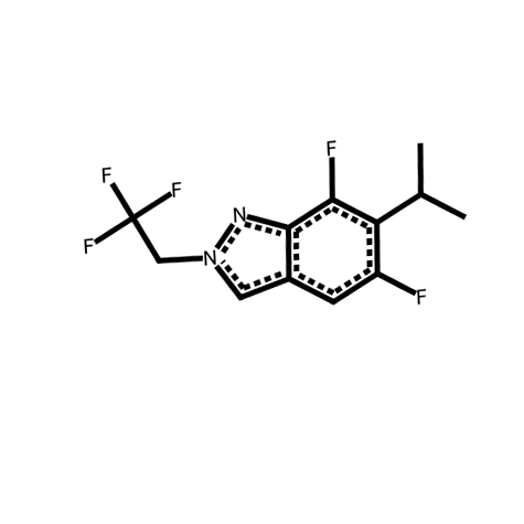 CC(C)c1c(F)cc2cn(CC(F)(F)F)nc2c1F